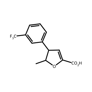 CC1OC(C(=O)O)=CC1c1cccc(C(F)(F)F)c1